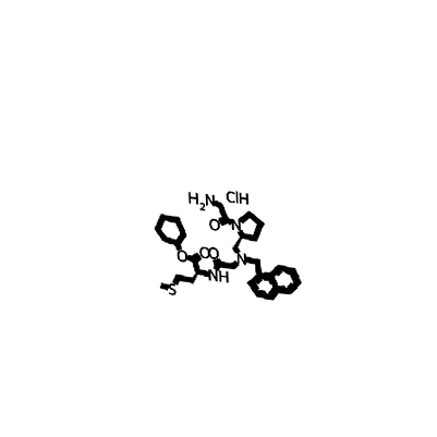 CSCC[C@H](NC(=O)CN(Cc1cccc2ccccc12)C[C@@H]1CCCN1C(=O)CN)C(=O)OC1CCCCC1.Cl